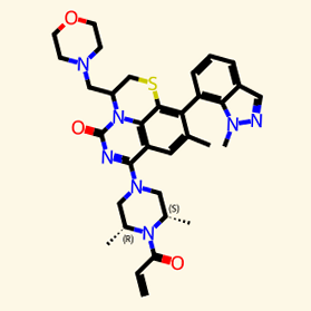 C=CC(=O)N1[C@H](C)CN(c2nc(=O)n3c4c(c(-c5cccc6cnn(C)c56)c(C)cc24)SCC3CN2CCOCC2)C[C@@H]1C